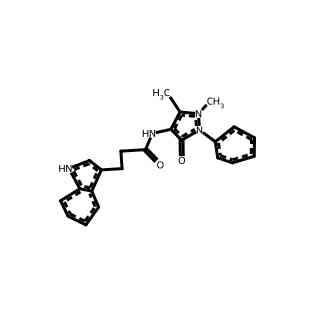 Cc1c(NC(=O)CCc2c[nH]c3ccccc23)c(=O)n(-c2ccccc2)n1C